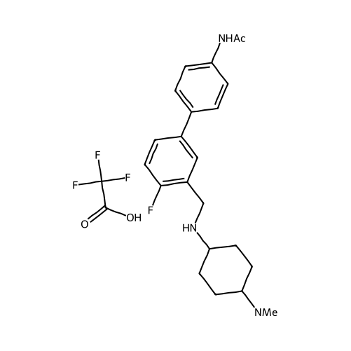 CNC1CCC(NCc2cc(-c3ccc(NC(C)=O)cc3)ccc2F)CC1.O=C(O)C(F)(F)F